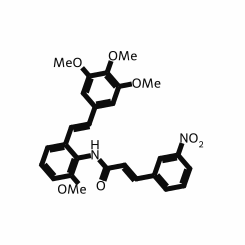 COc1cccc(C=Cc2cc(OC)c(OC)c(OC)c2)c1NC(=O)/C=C/c1cccc([N+](=O)[O-])c1